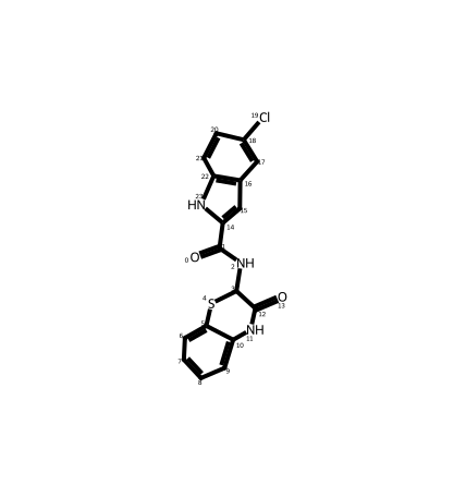 O=C(NC1Sc2ccccc2NC1=O)c1cc2cc(Cl)ccc2[nH]1